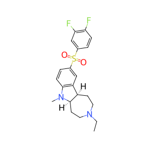 CCN1CC[C@@H]2c3cc(S(=O)(=O)c4ccc(F)c(F)c4)ccc3N(C)[C@@H]2CC1